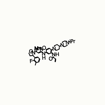 C=CC(=O)Nc1cc(Nc2cc(N3OCCC3c3cccc(C)c3F)ncn2)c(OC)cc1N1CCC(N2CCN(C(C)C)CC2)CC1